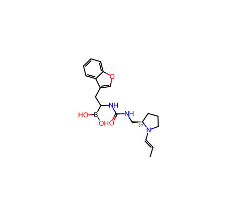 CC=CN1CCC[C@@H]1CNC(=O)NC(Cc1coc2ccccc12)B(O)O